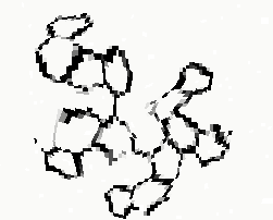 c1ccc2c(c1)ccc1c(-c3cccc4c3sc3ccc5ccccc5c34)nc(-n3c4c5ccccc5ccc4c4c5ccccc5c5c6ccccc6oc5c43)nc12